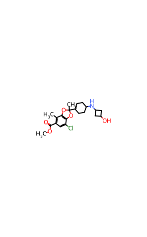 COC(=O)c1cc(Cl)c2c(c1C)OC(C)(C1CCC(NC3CC(O)C3)CC1)O2